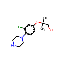 CC(C)(CO)Oc1ccc(N2CCNCC2)c(F)c1